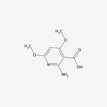 COc1cc(OC)c(C(=O)O)c(N)n1